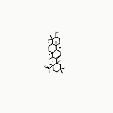 CC(=O)[C@]12CCC(C)(C)C[C@H]1C1=CC[C@@H]3[C@@]4(C)CC[C@H](O)C(C)(C)[C@@H]4CC[C@@]3(C)[C@]1(C)CC2